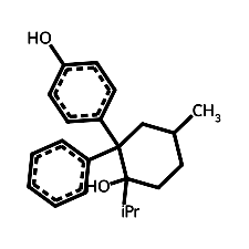 CC1CCC(O)(C(C)C)C(c2ccccc2)(c2ccc(O)cc2)C1